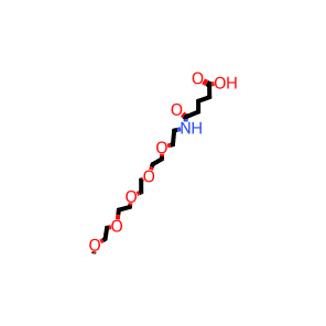 COCCOCCOCCOCCOCCNC(=O)CCCC(=O)O